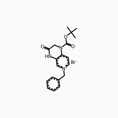 CC(C)(C)OC(=O)N1CC(=O)Nc2c[n+](Cc3ccccc3)ccc21.[Br-]